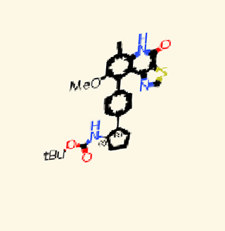 COc1cc(C)c2[nH]c(=O)c3scnc3c2c1-c1ccc([C@H]2CCC[C@H]2NC(=O)OC(C)(C)C)cc1